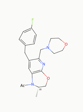 CC(=O)N1c2cc(Cc3ccc(F)cc3)c(CN3CCOCC3)nc2OC[C@@H]1C